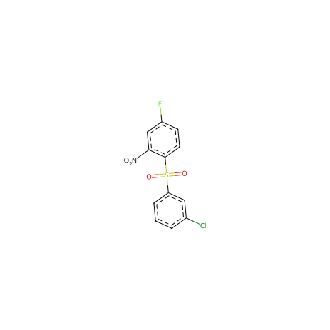 O=[N+]([O-])c1cc(F)ccc1S(=O)(=O)c1cccc(Cl)c1